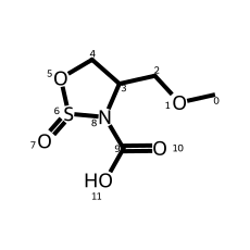 COCC1COS(=O)N1C(=O)O